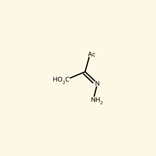 CC(=O)C(=NN)C(=O)O